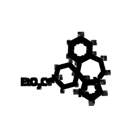 CCOC(=O)N1CCC2(CC1)c1ccccc1CCn1ccnc12